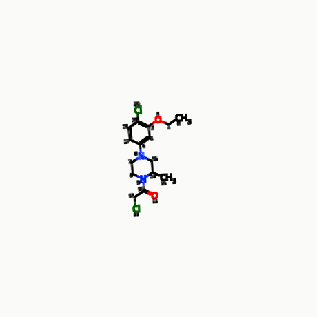 CCOc1cc(N2CCN(C(=O)CCl)C(C)C2)ccc1Cl